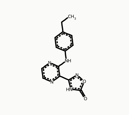 CCc1ccc(Nc2nccnc2-c2noc(=O)[nH]2)cc1